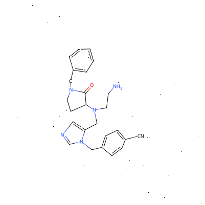 N#Cc1ccc(Cn2cncc2CN(CCN)C2CCN(Cc3ccccc3)C2=O)cc1